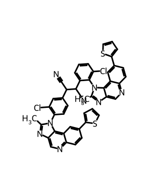 Cc1nc2cnc3ccc(-c4cccs4)cc3c2n1-c1ccc(C(C#N)C(C#N)c2cccc(Cl)c2-n2c(C)nc3cnc4ccc(-c5cccs5)cc4c32)cc1Cl